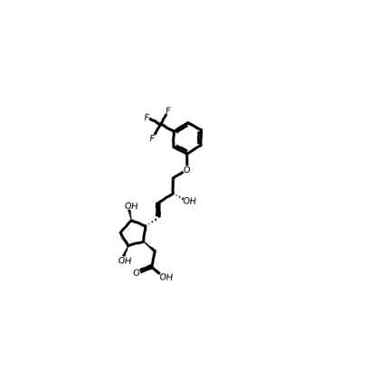 O=C(O)C[C@@H]1[C@@H](C=C[C@@H](O)COc2cccc(C(F)(F)F)c2)[C@H](O)C[C@@H]1O